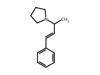 CC(C=Cc1ccccc1)N1CCCC1